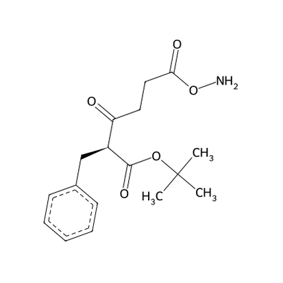 CC(C)(C)OC(=O)[C@@H](Cc1ccccc1)C(=O)CCC(=O)ON